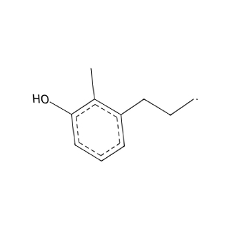 [CH2]CCc1cccc(O)c1C